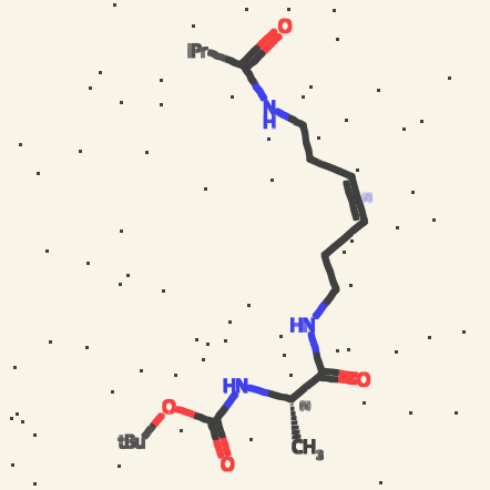 CC(C)C(=O)NCC/C=C\CCNC(=O)[C@H](C)NC(=O)OC(C)(C)C